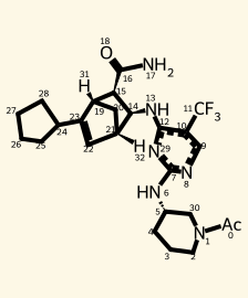 CC(=O)N1CCC[C@H](Nc2ncc(C(F)(F)F)c(N[C@@H]3[C@H](C(N)=O)[C@@H]4C[C@H]3C=C4C3CCCC3)n2)C1